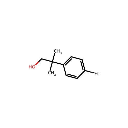 CCc1ccc(C(C)(C)CO)cc1